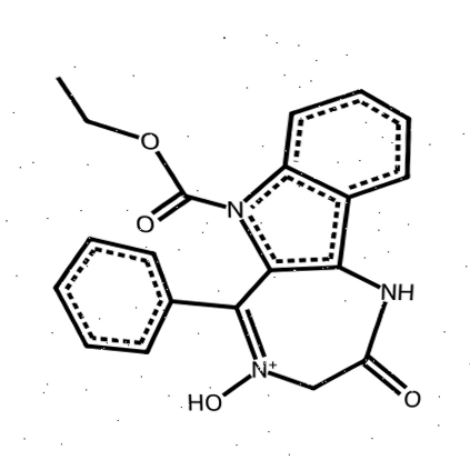 CCOC(=O)n1c2c(c3ccccc31)NC(=O)C[N+](O)=C2c1ccccc1